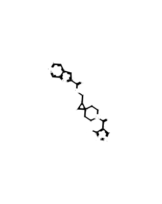 Cc1oncc1C(=O)N1CCC2(CC1)CC2CNC(=O)c1cc2ccncc2o1